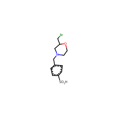 O=S(=O)(O)c1ccc(CN2CCOC(CBr)C2)cc1